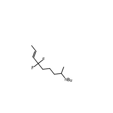 C/C=C/C(F)(F)CCCC(C)CCCC